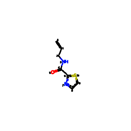 C=CCNC(=O)c1nccs1